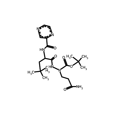 CC(C)(C)CC(NC(=O)c1cnccn1)C(=O)NN(CCC(N)=O)C(=O)OC(C)(C)C